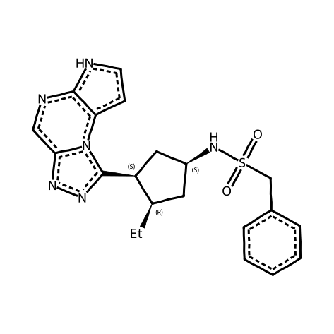 CC[C@@H]1C[C@H](NS(=O)(=O)Cc2ccccc2)C[C@@H]1c1nnc2cnc3[nH]ccc3n12